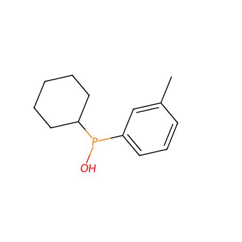 Cc1cccc(P(O)C2CCCCC2)c1